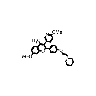 COc1ccc2c(c1)OC(c1ccc(OCCN3CCCCC3)cc1)C(c1ccc(OC)nc1)=C2C